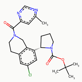 Cc1cc(C(=O)N2CCc3cc(Cl)cc([C@@H]4CCCN4C(=O)OC(C)(C)C)c3C2)ncn1